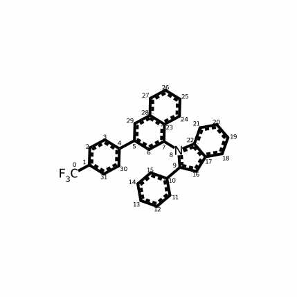 FC(F)(F)c1ccc(-c2cc(-n3c(-c4ccccc4)cc4ccccc43)c3ccccc3c2)cc1